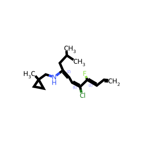 C=C/C=C(F)/C(Cl)=C\C=C(\CC(C)C)NCC1(C)CC1